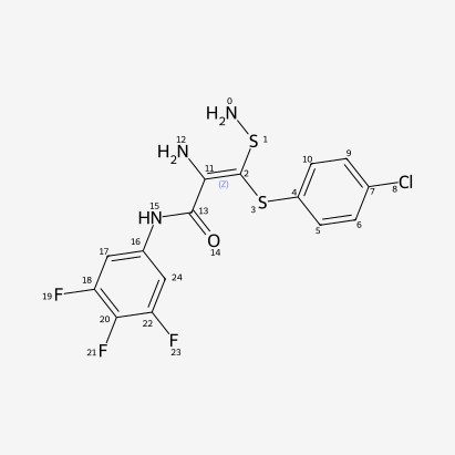 NS/C(Sc1ccc(Cl)cc1)=C(\N)C(=O)Nc1cc(F)c(F)c(F)c1